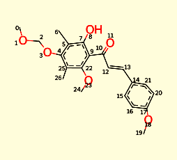 COCOc1c(C)c(O)c(C(=O)/C=C/c2ccc(OC)cc2)c(OC)c1C